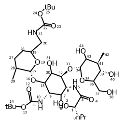 CCC[C@H](O)C(=O)N[C@@H]1C(O)[C@H](NC(=O)OC(C)(C)C)C(O[C@H]2OC(CNC(=O)OC(C)(C)C)CCC2C)C(O)[C@H]1O[C@H]1OC(CO)[C@@H](O)[C@H](C)C1O